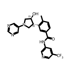 Cc1ccc(C(=O)Nc2cncc(C(F)(F)F)c2)cc1[C@@H]1CN(c2cncnc2)C[C@H]1O